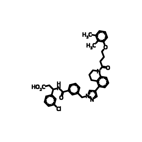 Cc1cccc(OCCCC(=O)N2CCCc3c(-c4cnn(Cc5cccc(C(=O)NC(CC(=O)O)c6cccc(Cl)c6)c5)c4)cccc32)c1C